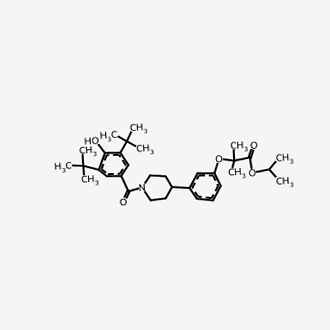 CC(C)OC(=O)C(C)(C)Oc1cccc(C2CCN(C(=O)c3cc(C(C)(C)C)c(O)c(C(C)(C)C)c3)CC2)c1